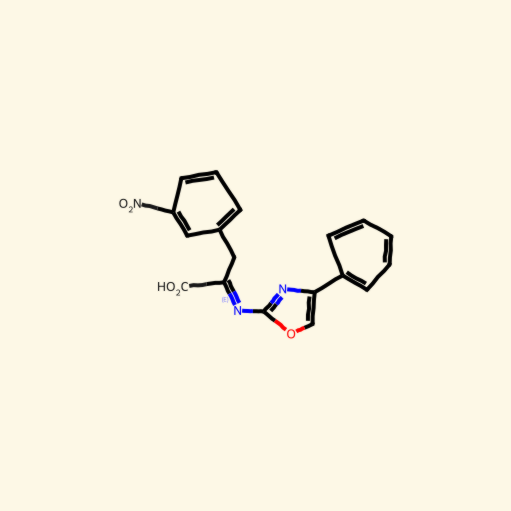 O=C(O)/C(Cc1cccc([N+](=O)[O-])c1)=N/c1nc(-c2ccccc2)co1